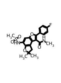 CNC(=O)c1c(-c2ccc(F)cc2)oc2cc(NS(C)(=O)=O)c3c(c12)CC(C)(C)O3